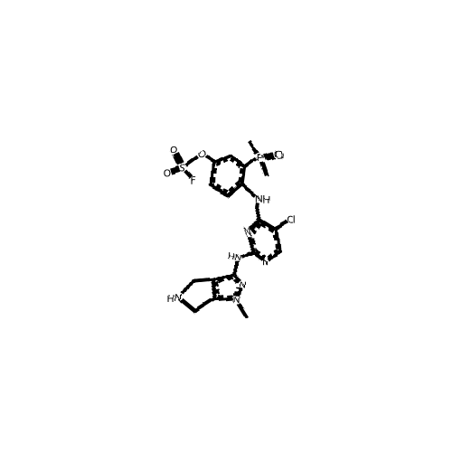 Cn1nc(Nc2ncc(Cl)c(Nc3ccc(OS(=O)(=O)F)cc3P(C)(C)=O)n2)c2c1CNC2